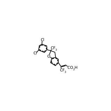 O=C(O)C=C(c1ccc2c(c1)CC(c1cc(Cl)cc(Cl)c1)(C(F)(F)F)O2)C(F)(F)F